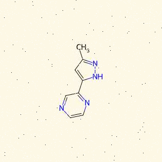 Cc1cc(-c2cnccn2)[nH]n1